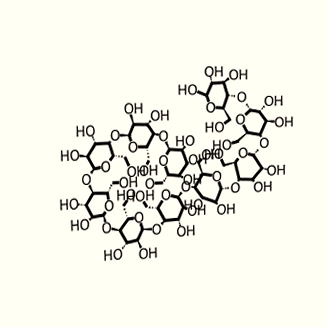 OC[C@@H]1O[C@@H](O[C@@H]2[C@@H](O)[C@H](O)[C@H](O[C@@H]3[C@@H](O)[C@H](O)[C@H](O[C@@H]4[C@@H](O)[C@H](O)[C@H](O[C@@H]5[C@@H](O)[C@H](O)[C@H](O[C@@H]6[C@@H](O)[C@H](O)[C@H](O[C@H]7[C@H](O)[C@@H](O)[C@@H](O[C@H]8[C@H](O)[C@@H](O)[C@@H](O[C@H]9[C@H](O)[C@@H](O)[C@@H](O[C@H]%10[C@H](O)[C@@H](O)C(O)O[C@@H]%10CO)O[C@@H]9CO)O[C@@H]8CO)O[C@@H]7CO)O[C@H]6CO)O[C@H]5CO)O[C@H]4CO)O[C@H]3CO)O[C@H]2CO)[C@@H](O)[C@H](O)[C@H]1O